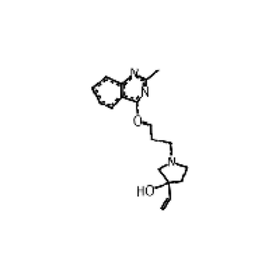 C=CC1(O)CCN(CCCOc2nc(C)nc3ccccc23)C1